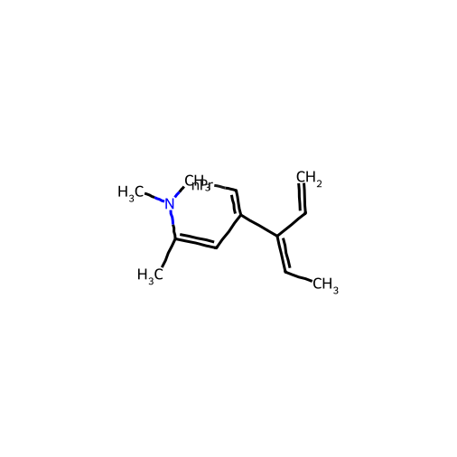 C=CC(=C\C)/C(/C=C(/C)N(C)C)=C/CCC